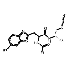 CCC(=O)NC(Cc1nc2ccc(C(C)C)cc2s1)C(=O)N[C@H](CN=[N+]=[N-])[C@@H](C)CC